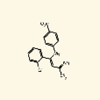 N=C(/C=C(\Nc1ccc([N+](=O)[O-])cc1)c1ccccc1Cl)C(F)(F)F